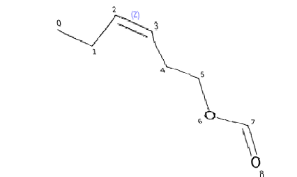 CC/C=C\CCOC=O